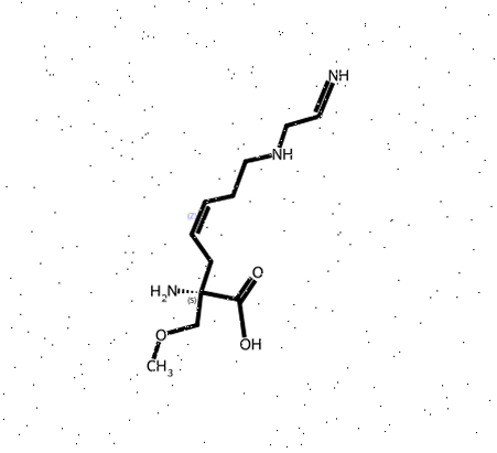 COC[C@@](N)(C/C=C\CCNCC=N)C(=O)O